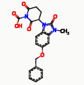 Cn1c(=O)n(C2CCC(=O)N(C(=O)O)C2=O)c2ccc(OCc3ccccc3)cc21